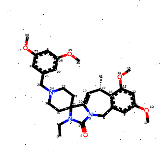 CCN1C(=O)N2Cc3cc(OC)cc(OC)c3[C@@H](C)C=C2C12CCN(Cc1cc(OC)cc(OC)c1)CC2